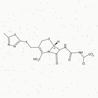 Cc1nnc(SCC2=C(C(=O)O)N3C(=O)C(NC(=O)NC(Cl)C(Cl)(Cl)Cl)[C@H]3SC2)s1